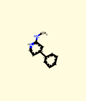 CNc1cc(-c2ccccc2)ccn1